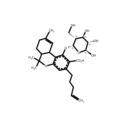 C=CCCCc1cc2c(c(O[C@H]3O[C@H](O)[C@@H](O)[C@H](O)[C@H]3CO)c1C(=O)O)C1C=C(C)CCC1C(C)(C)O2